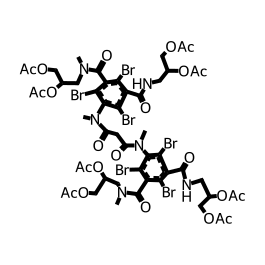 CC(=O)OCC(CNC(=O)c1c(Br)c(C(=O)N(C)CC(COC(C)=O)OC(C)=O)c(Br)c(N(C)C(=O)CC(=O)N(C)c2c(Br)c(C(=O)NCC(COC(C)=O)OC(C)=O)c(Br)c(C(=O)N(C)CC(COC(C)=O)OC(C)=O)c2Br)c1Br)OC(C)=O